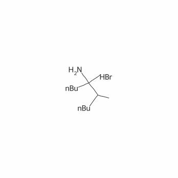 Br.CCCCC(C)C(C)(N)CCCC